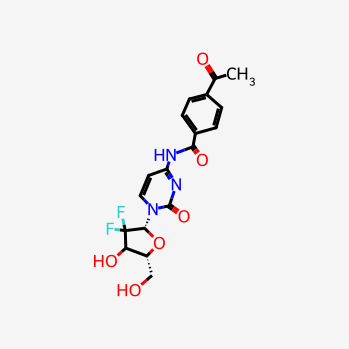 CC(=O)c1ccc(C(=O)Nc2ccn([C@@H]3O[C@H](CO)C(O)C3(F)F)c(=O)n2)cc1